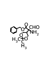 CC1(C)O[CH][C](C(N)(C=O)C(=O)OCc2ccccc2)CO1